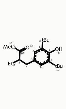 CCC(Cc1cc(C(C)(C)C)c(O)c(C(C)(C)C)c1)C(=O)OC